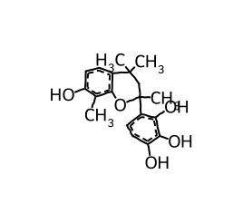 Cc1c(O)ccc2c1OC(C)(c1ccc(O)c(O)c1O)CC2(C)C